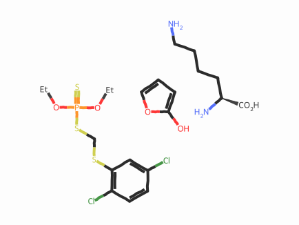 CCOP(=S)(OCC)SCSc1cc(Cl)ccc1Cl.NCCCC[C@H](N)C(=O)O.Oc1ccco1